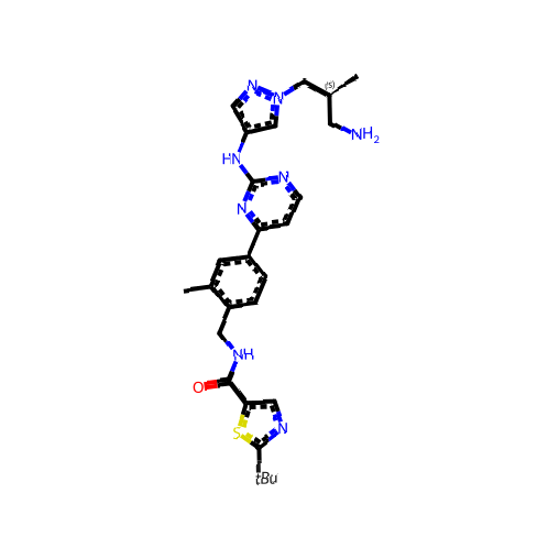 Cc1cc(-c2ccnc(Nc3cnn(C[C@@H](C)CN)c3)n2)ccc1CNC(=O)c1cnc(C(C)(C)C)s1